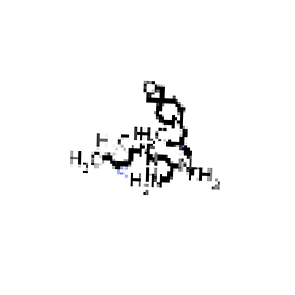 C=C/C=C\C(=C)NNCC(CN)N(C)/C=C(\C=C)CN1CCC2(CC1)COC2